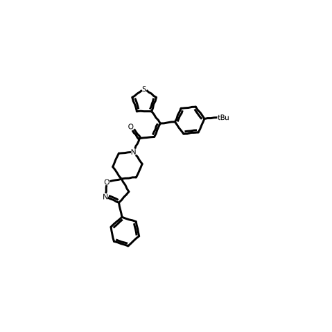 CC(C)(C)c1ccc(C(=CC(=O)N2CCC3(CC2)CC(c2ccccc2)=NO3)c2ccsc2)cc1